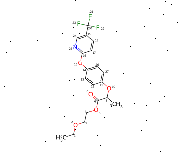 CCOCCOC(=O)C(C)Oc1ccc(Oc2ccc(C(F)(F)F)cn2)cc1